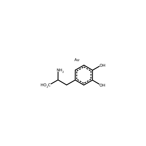 NC(Cc1ccc(O)c(O)c1)C(=O)O.[Au]